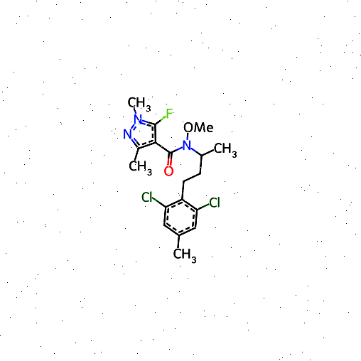 CON(C(=O)c1c(C)nn(C)c1F)C(C)CCc1c(Cl)cc(C)cc1Cl